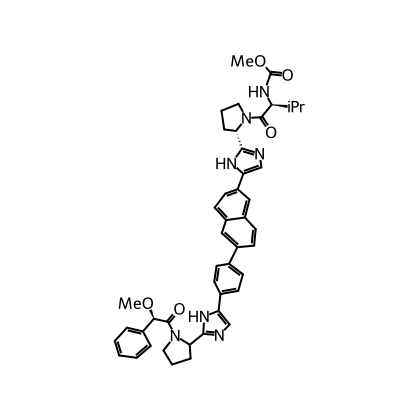 COC(=O)N[C@H](C(=O)N1CCC[C@H]1c1ncc(-c2ccc3cc(-c4ccc(-c5cnc(C6CCCN6C(=O)[C@H](OC)c6ccccc6)[nH]5)cc4)ccc3c2)[nH]1)C(C)C